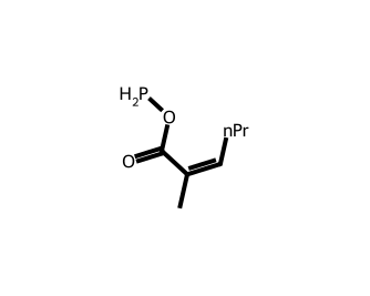 CCCC=C(C)C(=O)OP